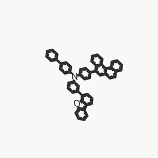 c1ccc(-c2ccc(N(c3ccc(-c4cc5ccc6ccccc6c5c5ccccc45)cc3)c3cccc(-c4cccc5c4oc4ccccc45)c3)cc2)cc1